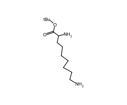 CC(C)(C)OC(=O)C(N)CCCCCCCN